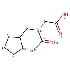 O=C(O)C[C@@H](CC1CCCC1)C(=O)F